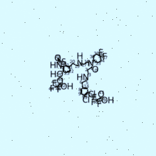 O=C(CCNCCc1ccc(Cl)c(Cl)c1)N(CCNCCc1ccc(O)c2[nH]c(=O)sc12)C1CCC(F)(F)CC1.O=C(O)C(F)(F)F.O=C(O)C(F)(F)F